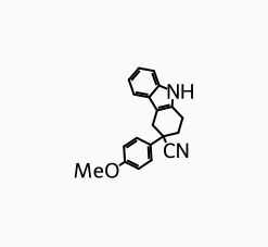 COc1ccc(C2(C#N)CCc3[nH]c4ccccc4c3C2)cc1